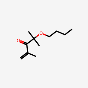 C=C(C)C(=O)C(C)(C)OCCCC